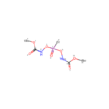 CCP(=O)(ONC(=O)OC(C)(C)C)ONC(=O)OC(C)(C)C